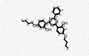 CCCCOc1ccc(-c2nc(-c3ccccc3)nc(-c3ccc(OCCCC)cc3O)n2)c(O)c1